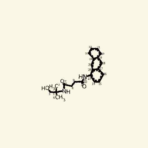 CC(C)(CO)NC(=O)CCC(=O)Nc1cccc2cc3ccccc3cc12